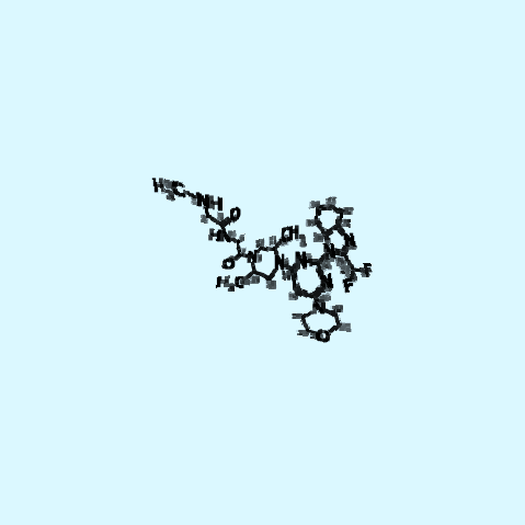 CNCC(=O)NCC(=O)N1CC(C)N(c2cc(N3CCOCC3)nc(-n3c(C(F)F)nc4ccccc43)n2)CC1C